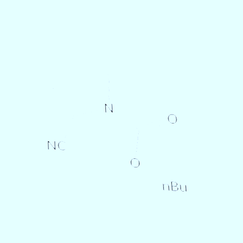 CCCCOC(=O)N1CCCC1C#N